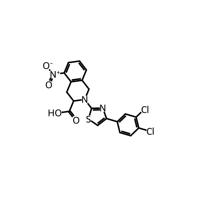 O=C(O)C1Cc2c(cccc2[N+](=O)[O-])CN1c1nc(-c2ccc(Cl)c(Cl)c2)cs1